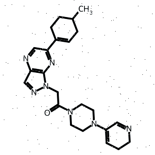 CC1CC=C(c2cnc3cnn(CC(=O)N4CCN(C5=CCCN=C5)CC4)c3n2)CC1